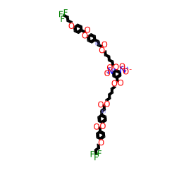 O=C(/C=C/c1ccc(OC(=O)c2ccc(OCCCC(F)(F)F)cc2)cc1)OCCCCCCOC(=O)c1cc([N+](=O)[O-])c(OCCCCCCOC(=O)/C=C/c2ccc(OC(=O)c3ccc(OCCCC(F)(F)F)cc3)cc2)c([N+](=O)[O-])c1